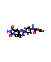 CN1C(=O)NC(=O)/C1=C/c1ccnc(N2CCC(NC(=O)OC(C)(C)C)CC2)n1